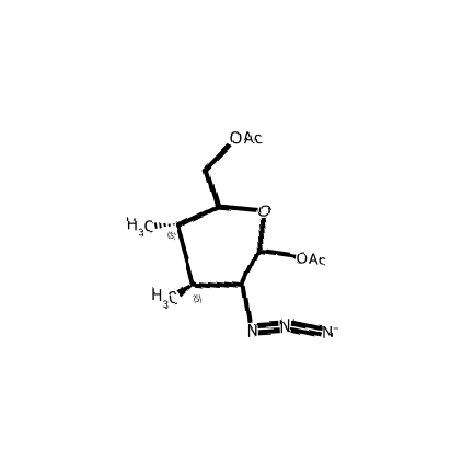 CC(=O)OCC1OC(OC(C)=O)C(N=[N+]=[N-])[C@@H](C)[C@@H]1C